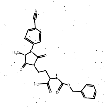 C[C@@H]1C(=O)N(CCC(NC(=O)OCc2ccccc2)C(=O)O)C(=O)N1c1ccc(C#N)cc1